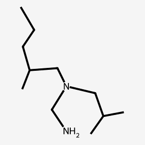 CCCC(C)CN(CN)CC(C)C